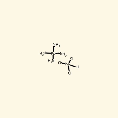 [Cl][Pd]([Cl])([Cl])[Cl].[NH2][Pd]([NH2])([NH2])[NH2]